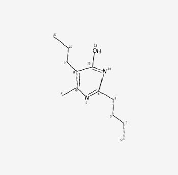 CCCCc1nc(C)c(CCC)c(O)n1